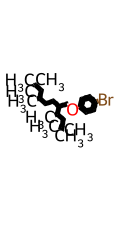 CC(CCC(COc1ccc(Br)cc1)C(C)CC(C)(C)C)CC(C)(C)C